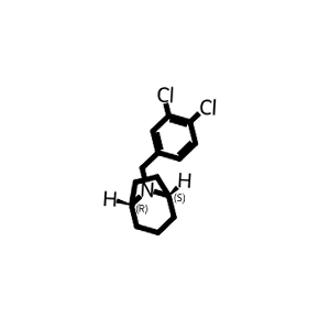 Clc1ccc(CN2[C@@H]3CCC[C@H]2CC3)cc1Cl